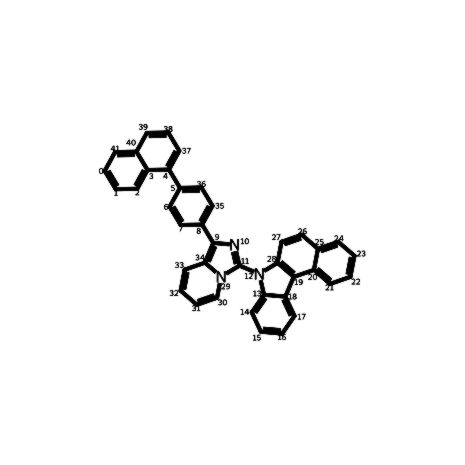 c1ccc2c(-c3ccc(-c4nc(-n5c6ccccc6c6c7ccccc7ccc65)n5ccccc45)cc3)cccc2c1